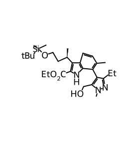 CCOC(=O)c1[nH]c2c(-c3c(CC)nn(C)c3CO)c(C)ccc2c1[C@H](C)CCO[Si](C)(C)C(C)(C)C